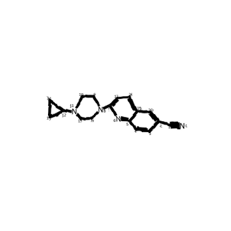 N#Cc1ccc2nc(N3CCN(C4CC4)CC3)ccc2c1